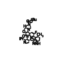 Cc1ccnc(C(C)C)c1-n1c(=O)c2c(c3cc(F)c(-c4c(C)ccc5[nH]ncc45)nc31)N1CCN(C(=O)OC(C)(C)C)C[C@@H]1CO2